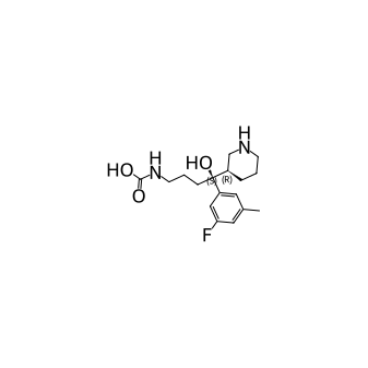 Cc1cc(F)cc([C@](O)(CCCNC(=O)O)[C@@H]2CCCNC2)c1